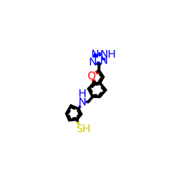 Sc1cccc(NCc2ccc3cc(-c4nn[nH]n4)oc3c2)c1